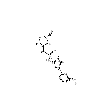 COc1cccc(-c2cc(NC(=O)CC3CCN(C#N)C3)on2)c1